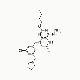 CCCCOc1nc(NN)c2c(n1)N(Cc1cc(Cl)cc(CN3CCCC3)c1)CC(=O)N2